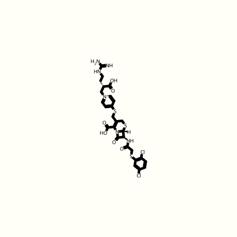 N=C(N)NCC[C@@H](C[n+]1ccc(SCC2=C(C(=O)O)N3C(=O)[C@H](NC(=O)CSc4cc(Cl)ccc4Cl)[C@H]3SC2)cc1)C(=O)O